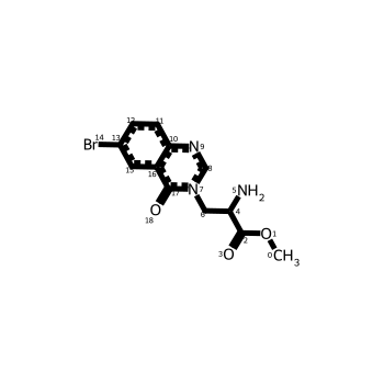 COC(=O)C(N)Cn1cnc2ccc(Br)cc2c1=O